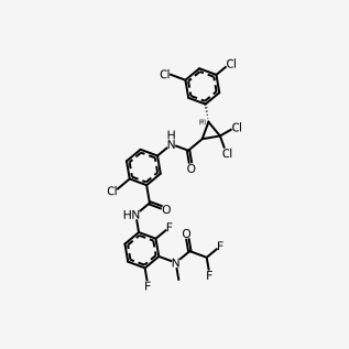 CN(C(=O)C(F)F)c1c(F)ccc(NC(=O)c2cc(NC(=O)C3[C@H](c4cc(Cl)cc(Cl)c4)C3(Cl)Cl)ccc2Cl)c1F